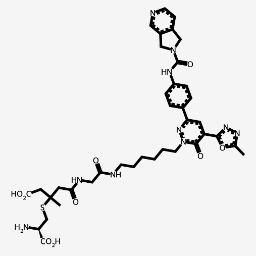 Cc1nnc(-c2cc(-c3ccc(NC(=O)N4Cc5ccncc5C4)cc3)nn(CCCCCCNC(=O)CNC(=O)CC(C)(CC(=O)O)SC[C@H](N)C(=O)O)c2=O)o1